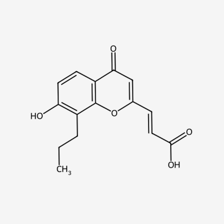 CCCc1c(O)ccc2c(=O)cc(C=CC(=O)O)oc12